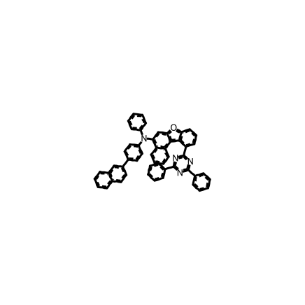 c1ccc(-c2nc(-c3ccccc3)nc(-c3cccc4oc5cc(N(c6ccccc6)c6ccc(-c7ccc8ccccc8c7)cc6)c6ccccc6c5c34)n2)cc1